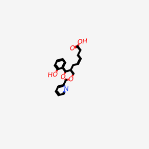 O=C(O)CC/C=C\CC1COC(c2ccccn2)OC1c1ccccc1O